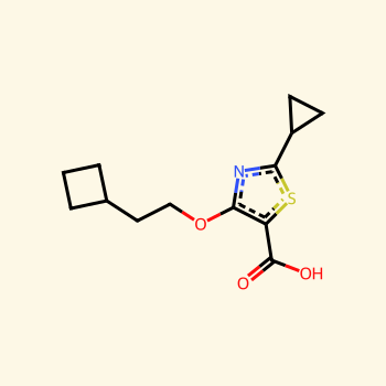 O=C(O)c1sc(C2CC2)nc1OCCC1CCC1